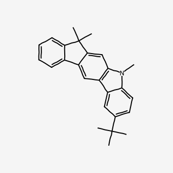 Cn1c2ccc(C(C)(C)C)cc2c2cc3c(cc21)C(C)(C)c1ccccc1-3